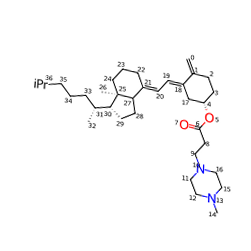 C=C1CC[C@H](OC(=O)CCN2CCN(C)CC2)C/C1=C\C=C1/CCC[C@@]2(C)C1CC[C@@H]2[C@H](C)CCCC(C)C